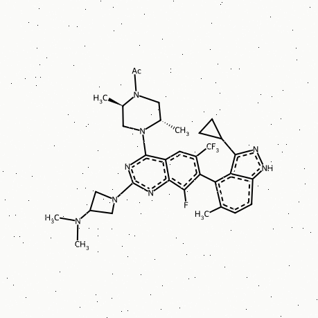 CC(=O)N1C[C@H](C)N(c2nc(N3CC(N(C)C)C3)nc3c(F)c(-c4c(C)ccc5[nH]nc(C6CC6)c45)c(C(F)(F)F)cc23)C[C@H]1C